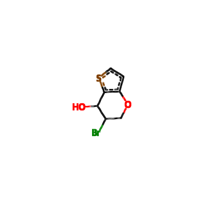 OC1c2sccc2OCC1Br